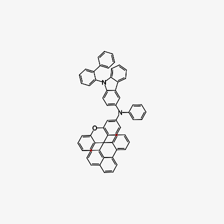 c1ccc(-c2ccccc2-n2c3ccccc3c3cc(N(c4ccccc4)c4ccc5c(c4)Oc4ccccc4C54c5ccccc5-c5cccc6cccc4c56)ccc32)cc1